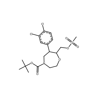 CC(C)(C)OC(=O)N1CCOC(COS(C)(=O)=O)C(c2ccc(Cl)c(Cl)c2)C1